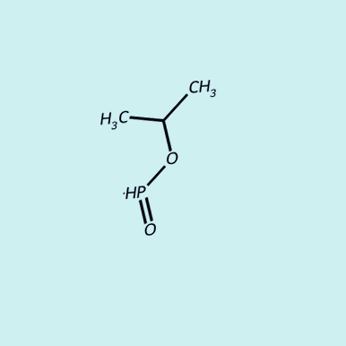 CC(C)O[PH]=O